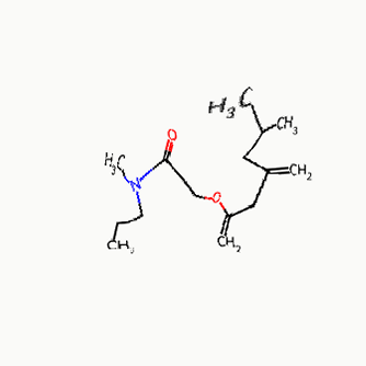 C=C(CC(=C)OCC(=O)N(C)CCC)CC(C)C